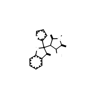 CN1C(=O)C(O)C(C2(c3cccs3)Nc3ccccc3C2=O)C1=O